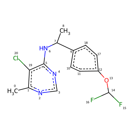 Cc1ncnc(NC(C)c2ccc(OC(F)F)cc2)c1Cl